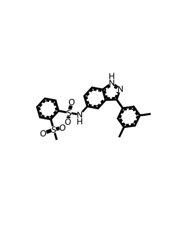 Cc1cc(C)cc(-c2n[nH]c3ccc(NS(=O)(=O)c4ccccc4S(C)(=O)=O)cc23)c1